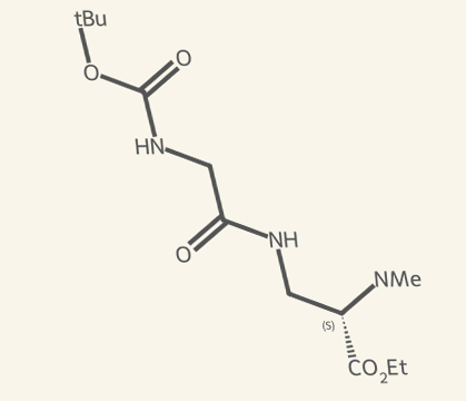 CCOC(=O)[C@H](CNC(=O)CNC(=O)OC(C)(C)C)NC